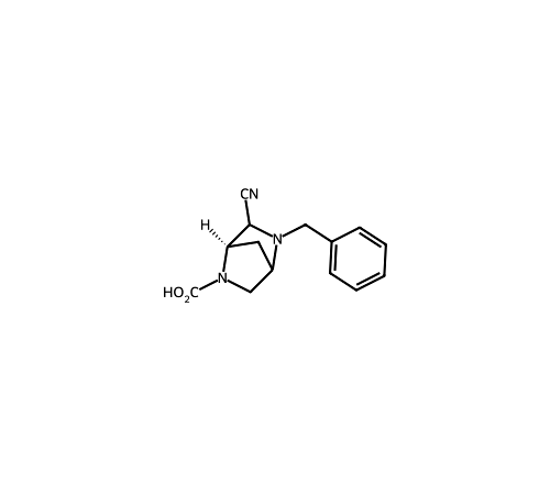 N#CC1[C@H]2CC(CN2C(=O)O)N1Cc1ccccc1